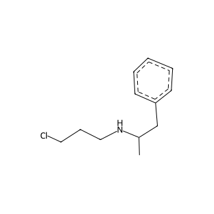 CC(Cc1ccccc1)NCCCCl